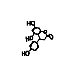 O=C1CC(c2ccc(O)cc2)c2c(O)cc(O)cc2O1